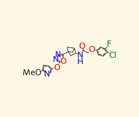 COc1ccc(Oc2nnc(C34CC(C3)C(NC(=O)COc3ccc(Cl)c(F)c3)C4)o2)cn1